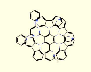 Cc1cccc(-c2c(-n3c4ccccc4c4ccncc43)c(-c3nc(-c4ccccc4)cc(-c4ccccc4)n3)c(-n3c4ccccc4c4ccncc43)c(-n3c4ccccc4c4ccncc43)c2-n2c3ccccc3c3ccncc32)n1